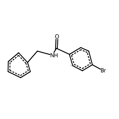 O=C(NCc1ccccc1)c1[c]cc(Br)cc1